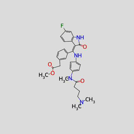 COC(=O)Cc1cccc(/C(Nc2ccc(N(C)C(=O)CCCN(C)C)cc2)=C2/C(=O)Nc3cc(F)ccc32)c1